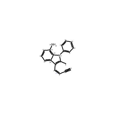 C#C/C=C\c1c(C)n(-c2ccccc2)c2c(N)cccc12